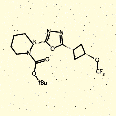 CC(C)(C)OC(=O)N1CCCC[C@@H]1c1nnc([C@H]2C[C@@H](OC(F)(F)F)C2)o1